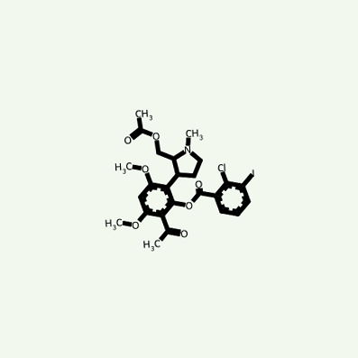 COc1cc(OC)c(C2CCN(C)C2COC(C)=O)c(OC(=O)c2cccc(I)c2Cl)c1C(C)=O